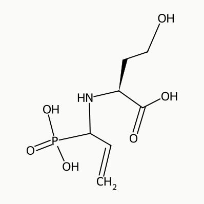 C=CC(N[C@@H](CCO)C(=O)O)P(=O)(O)O